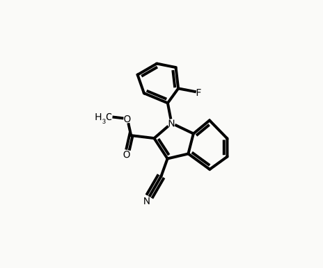 COC(=O)c1c(C#N)c2ccccc2n1-c1ccccc1F